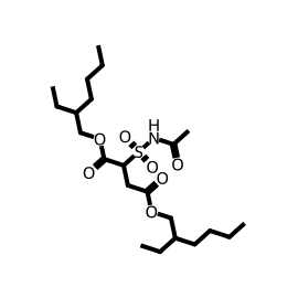 CCCCC(CC)COC(=O)CC(C(=O)OCC(CC)CCCC)S(=O)(=O)NC(C)=O